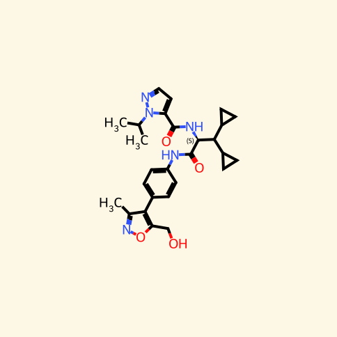 Cc1noc(CO)c1-c1ccc(NC(=O)[C@@H](NC(=O)c2ccnn2C(C)C)C(C2CC2)C2CC2)cc1